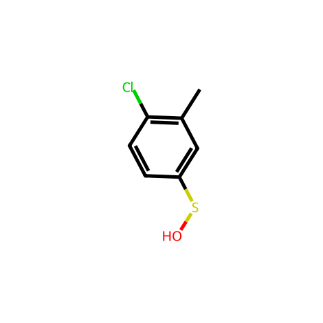 Cc1cc(SO)ccc1Cl